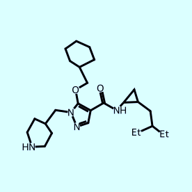 CCC(CC)CC1CC1NC(=O)c1cnn(CC2CCNCC2)c1OCC1CCCCC1